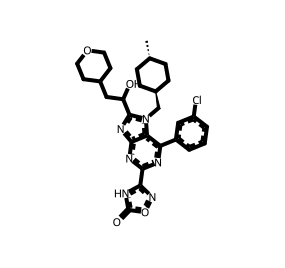 C[C@H]1CC[C@H](Cn2c(C(O)CC3CCOCC3)nc3nc(-c4noc(=O)[nH]4)nc(-c4cccc(Cl)c4)c32)CC1